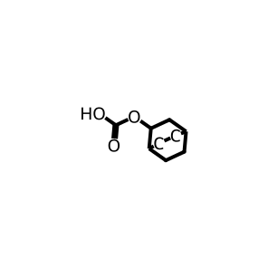 O=C(O)OC1CC2CCC1CC2